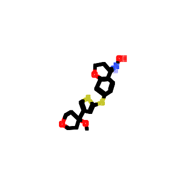 COC1(c2csc(Sc3ccc4c(c3)OCC/C4=N\O)c2)CCOCC1